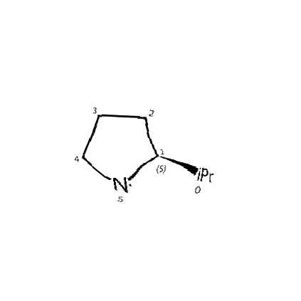 CC(C)[C@@H]1CCC[N]1